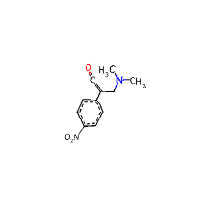 CN(C)CC(=C=O)c1ccc([N+](=O)[O-])cc1